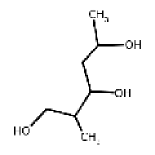 CC(O)CC(O)C(C)CO